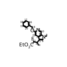 CCOC(=O)C(F)C(C)c1cn(C)c2cnc(OCc3ccccc3)cc12